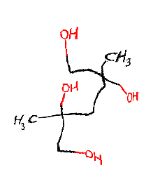 CC(O)(CO)CC(C)(O)CO